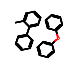 Cc1ccccc1-c1ccccc1.c1ccc(Oc2ccccc2)cc1